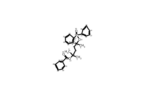 CC(C)(CCC(C)(C)OP(=O)(c1ccccc1)c1ccccc1)OC(=O)c1ccccc1